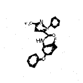 O=C(Nc1cc(Oc2ccccc2)ccc1F)c1cc(C(F)(F)F)nn1-c1ccccc1